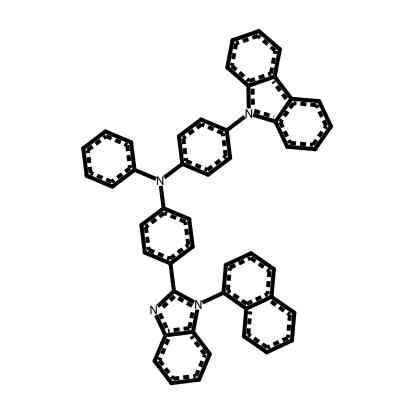 c1ccc(N(c2ccc(-c3nc4ccccc4n3-c3cccc4ccccc34)cc2)c2ccc(-n3c4ccccc4c4ccccc43)cc2)cc1